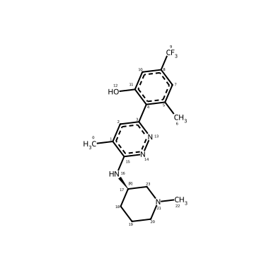 Cc1cc(-c2c(C)cc(C(F)(F)F)cc2O)nnc1N[C@@H]1CCCN(C)C1